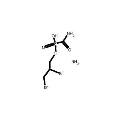 N.NC(=O)P(=O)(O)OCC(Br)CBr